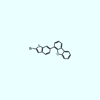 Brc1cc2ccc(-c3cccc4c3oc3ccccc34)cc2s1